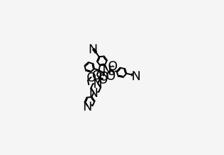 CCOc1ccccc1C1(OC(=O)N2CCN(c3ccncc3)CC2)C(=O)N(S(=O)(=O)c2ccc(C#N)cc2)c2ccc(C#N)cc21